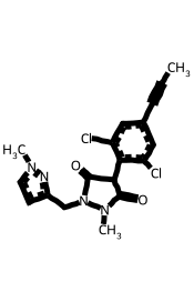 CC#Cc1cc(Cl)c(C2C(=O)N(C)N(Cc3ccn(C)n3)C2=O)c(Cl)c1